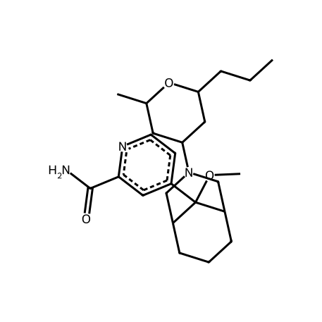 CCCC1CC(N2CC3CCCC(C2)C3(OC)c2ccnc(C(N)=O)c2)CC(C)O1